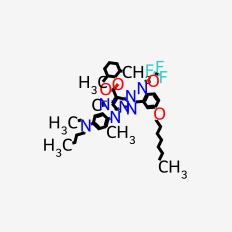 [C-]#[N+]C1=C(C(=O)OC2C(C)CCCC2C)c2nc(-c3cc(OCCCCCCCC)ccc3/N=C\OC(F)(F)F)nn2/C1=N/c1ccc(N(CC)CCCC)cc1C